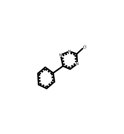 Clc1ncc(-c2ccccc2)nn1